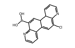 OB(O)C1=CC2C(=CC(Cl)=C3N=CC=CC32)c2cccnc21